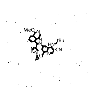 COc1nccc2c([C@H](Nc3cc(Cl)c4ncc(C#N)c(NCC(C)(C)C)c4c3)c3cn(C4CC4)nn3)cccc12